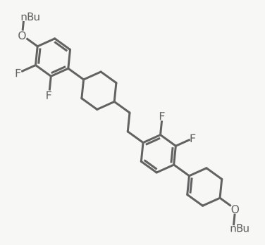 CCCCOc1ccc(C2CCC(CCc3ccc(C4=CCC(OCCCC)CC4)c(F)c3F)CC2)c(F)c1F